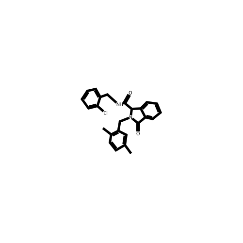 Cc1ccc(C)c(CN2C(=O)c3ccccc3C2C(=O)NCc2ccccc2Cl)c1